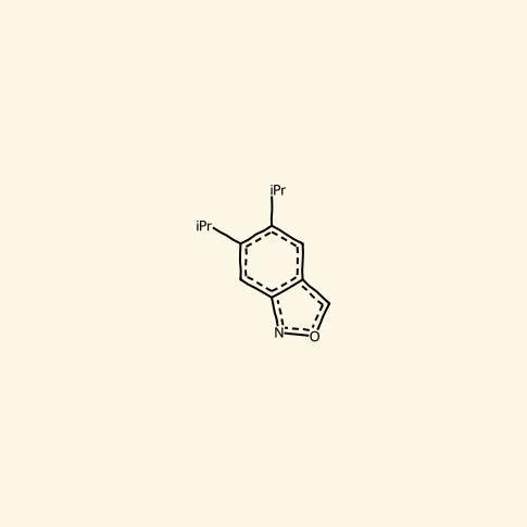 CC(C)c1cc2conc2cc1C(C)C